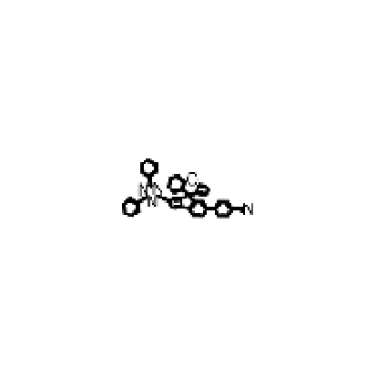 N#Cc1ccc(-c2ccc3c(c2)C2(c4ccccc4Oc4ccccc42)c2cc(-c4nc(-c5ccccc5)nc(-c5ccccc5)n4)ccc2-3)cc1